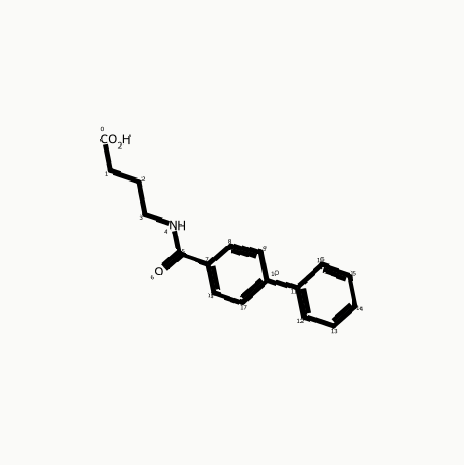 O=C(O)CCCNC(=O)c1ccc(-c2ccccc2)cc1